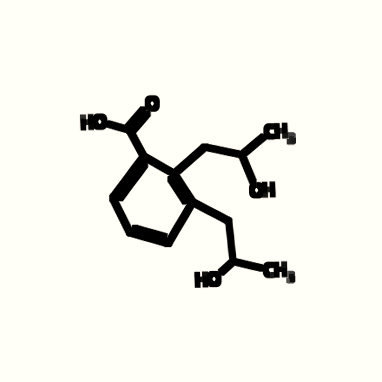 CC(O)Cc1cccc(C(=O)O)c1CC(C)O